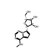 CNc1ncnn2c([C@@H]3O[C@H](CO)[C@@H](O)[C@H]3O)ccc12